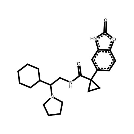 O=C(NCC(C1CCCCC1)N1CCCC1)C1(c2ccc3oc(=O)[nH]c3c2)CC1